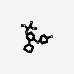 Clc1ccc(Sc2ccccc2C2CCNCC2)cc1.O=C(O)C(=O)O